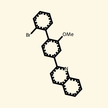 COc1cc(-c2ccc3ccccc3n2)ccc1-c1ccccc1Br